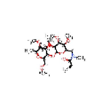 C=CC(=O)N(C)CC1OC(OC2C(COC)OC(C)C(OC)C2OC)C(OC)C(OC)C1OC